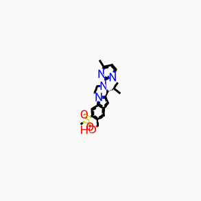 Cc1ccnc(N2CCn3c(cc4cc(CO)c(S(C)(=O)=O)cc43)[C@H]2C(C)C)n1